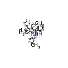 C=C/C=C(\CC)[C@H]1CC=CCC1C(C)=CC(=CC)[C@@H](N)/N=C(\NCCC1=CC=C[C@@H](C)C1)C1=CCCCC=C1